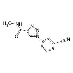 CNC(=O)c1cn(-c2cccc(C#N)c2)nn1